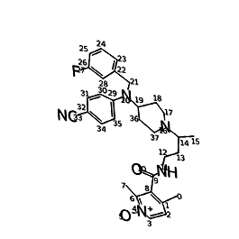 Cc1cc[n+]([O-])c(C)c1C(=O)NCCC(C)N1CCC(N(Cc2cccc(F)c2)c2ccc(C#N)cc2)CC1